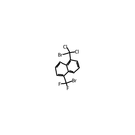 FC(F)(Br)c1cccc2c(C(Cl)(Cl)Br)cccc12